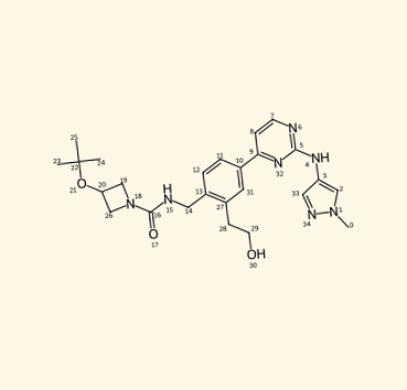 Cn1cc(Nc2nccc(-c3ccc(CNC(=O)N4CC(OC(C)(C)C)C4)c(CCO)c3)n2)cn1